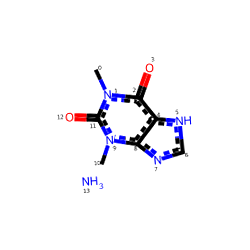 Cn1c(=O)c2[nH]cnc2n(C)c1=O.N